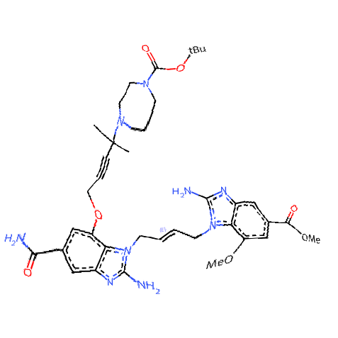 COC(=O)c1cc(OC)c2c(c1)nc(N)n2C/C=C/Cn1c(N)nc2cc(C(N)=O)cc(OCC#CC(C)(C)N3CCN(C(=O)OC(C)(C)C)CC3)c21